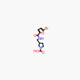 O=C(NCC1CCN(C(=O)O)C1)c1ccc(Br)o1